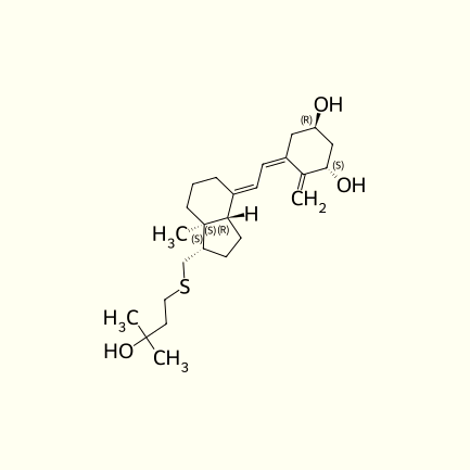 C=C1C(=CC=C2CCC[C@]3(C)[C@@H](CSCCC(C)(C)O)CC[C@@H]23)C[C@@H](O)C[C@@H]1O